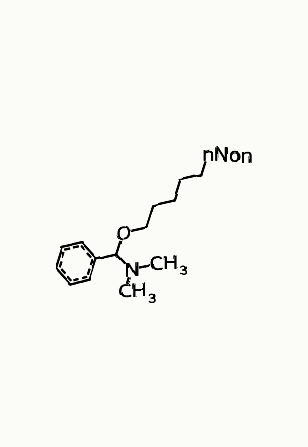 CCCCCCCCCCCCCCOC(c1ccccc1)N(C)C